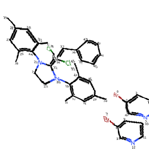 Brc1cccnc1.Brc1cccnc1.Cc1cc(C)c(N2CCN(c3c(C)cc(C)cc3C)[C]2=[Ru]([Cl])([Cl])=[CH]c2ccccc2)c(C)c1